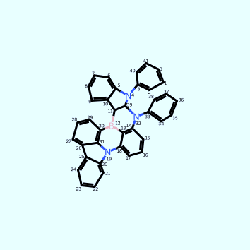 c1ccc(N2c3ccccc3C3B4c5c(cccc5-n5c6ccccc6c6cccc4c65)N(c4ccccc4)C32)cc1